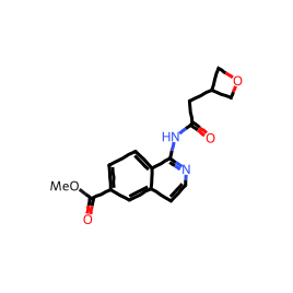 COC(=O)c1ccc2c(NC(=O)CC3COC3)nccc2c1